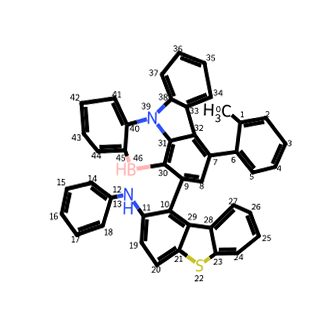 Cc1ccccc1-c1cc(-c2c(Nc3ccccc3)ccc3sc4ccccc4c23)c2c3c1c1ccccc1n3-c1ccccc1B2